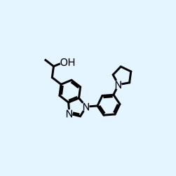 CC(O)Cc1ccc2c(c1)ncn2-c1cccc(N2CCCC2)c1